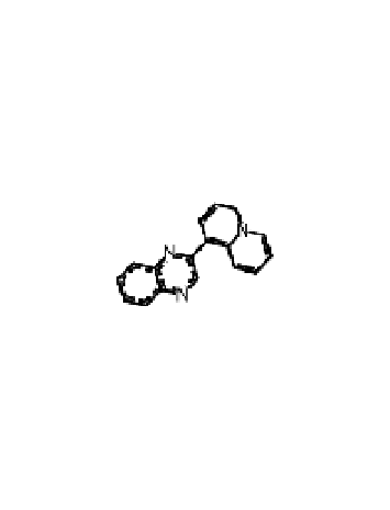 C1=CC2=C(c3cnc4ccccc4n3)C=CCN2C=C1